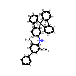 Cc1cc(-c2ccccc2)cc(C)c1Nc1ccc2c(c1)C1(c3ccccc3-c3ccccc31)c1ccccc1-2